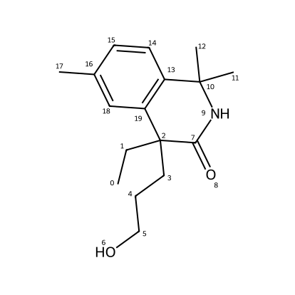 CCC1(CCCO)C(=O)NC(C)(C)c2ccc(C)cc21